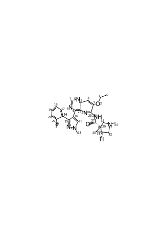 CCOc1cc2ncnc(-c3cn(C)nc3-c3ccccc3F)c2nc1NC(=O)[C@@]12C[C@@H]1CN(C)C2